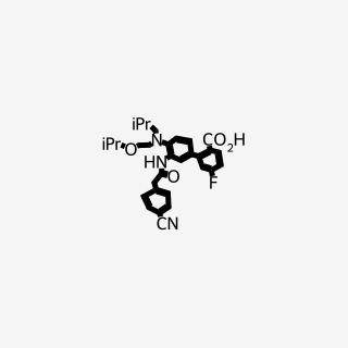 CC(C)CN(CCOC(C)C)c1ccc(-c2cc(F)ccc2C(=O)O)cc1NC(=O)Cc1ccc(C#N)cc1